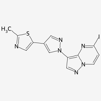 Cc1ncc(-c2cnn(-c3cnn4ccc(I)nc34)c2)s1